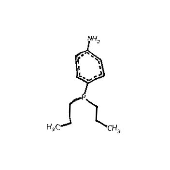 CCCP(CCC)c1ccc(N)cc1